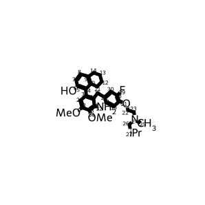 COc1cc(-c2c(O)ccc3c2CCCC3)c(Cc2ccc(OCCN(C)CC(C)C)c(F)c2)c(N)c1OC